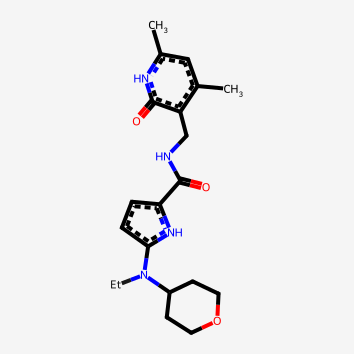 CCN(c1ccc(C(=O)NCc2c(C)cc(C)[nH]c2=O)[nH]1)C1CCOCC1